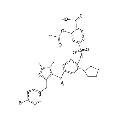 CC(=O)Oc1cc(S(=O)(=O)Oc2ccc(C(=O)c3c(Cc4ccc(Br)cc4)sc(C)c3C)cc2C2CCCC2)ccc1C(=O)O